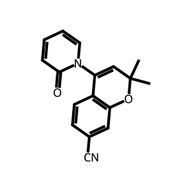 CC1(C)C=C(n2ccccc2=O)c2ccc(C#N)cc2O1